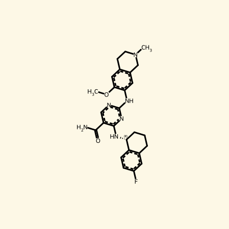 COc1cc2c(cc1Nc1ncc(C(N)=O)c(N[C@@H]3CCCc4cc(F)ccc43)n1)CN(C)CC2